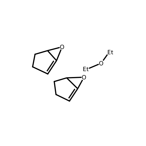 C1=C2OC2CC1.C1=C2OC2CC1.CCOCC